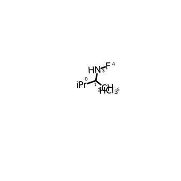 CC(C)C(C)NF.Cl